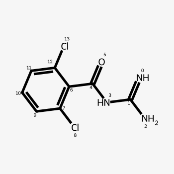 N=C(N)NC(=O)c1c(Cl)cccc1Cl